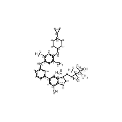 Cc1cc(Nc2nccc(-c3cc(C#N)c4c(c3)[C@@](C)(CCC(C)(C)[Si](C)(C)O)CN4)n2)c(C)nc1OC1CCN(C2CC2)CC1